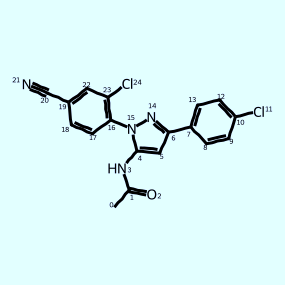 CC(=O)Nc1cc(-c2ccc(Cl)cc2)nn1-c1ccc(C#N)cc1Cl